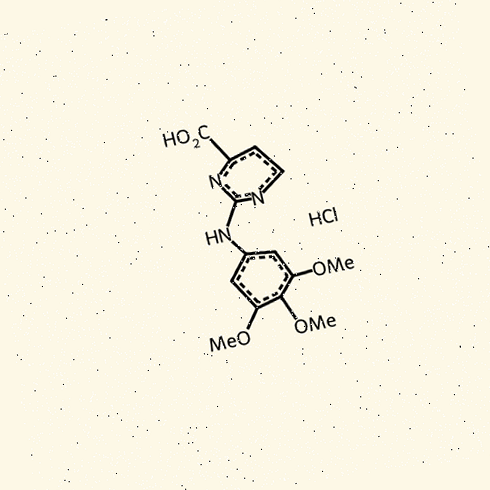 COc1cc(Nc2nccc(C(=O)O)n2)cc(OC)c1OC.Cl